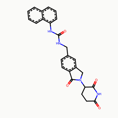 O=C1CCC(N2Cc3cc(CNC(=O)Nc4cccc5ccccc45)ccc3C2=O)C(=O)N1